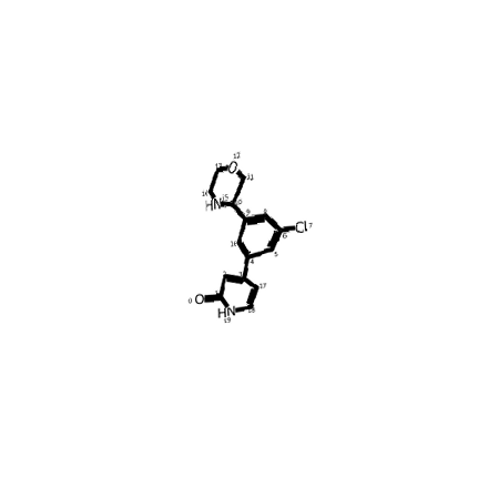 O=c1cc(-c2cc(Cl)cc(C3COCCN3)c2)cc[nH]1